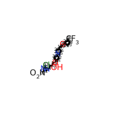 O=[N+]([O-])c1cn(CC[C@@H](O)COc2ccc(N3CCC(CCOc4cccc(C(F)(F)F)c4)CC3)cc2)c(Cl)n1